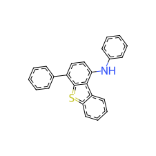 c1ccc(Nc2ccc(-c3ccccc3)c3sc4ccccc4c23)cc1